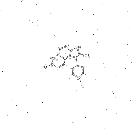 Cc1[nH]c2ncnc(/N=C\N(C)C)c2c1-c1ccc(Cl)cc1